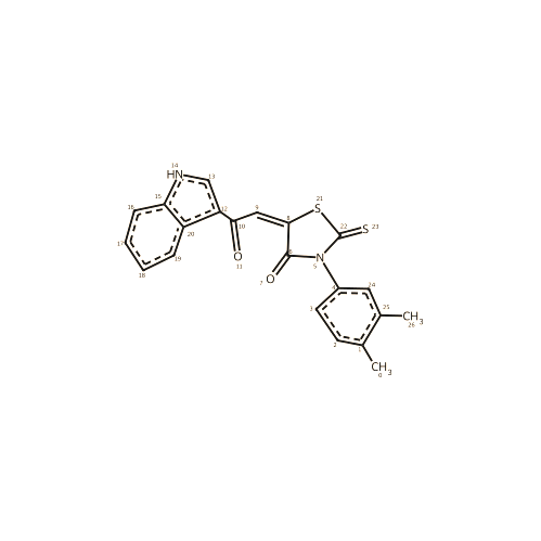 Cc1ccc(N2C(=O)C(=CC(=O)c3c[nH]c4ccccc34)SC2=S)cc1C